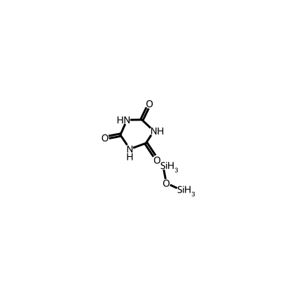 O=c1[nH]c(=O)[nH]c(=O)[nH]1.[SiH3]O[SiH3]